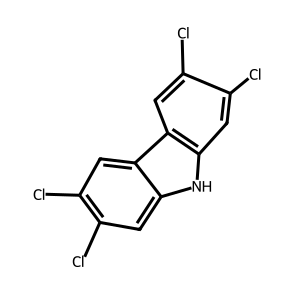 Clc1cc2[nH]c3cc(Cl)c(Cl)cc3c2cc1Cl